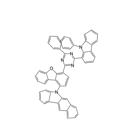 c1ccc(-c2nc(-c3ccc(-n4c5ccccc5c5cc6ccccc6cc54)c4c3oc3ccccc34)nc(-c3cccc4c5ccccc5n(-c5ccccc5)c34)n2)cc1